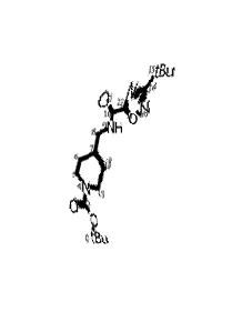 CC(C)(C)OC(=O)N1CCC(CNC(=O)c2nc(C(C)(C)C)no2)CC1